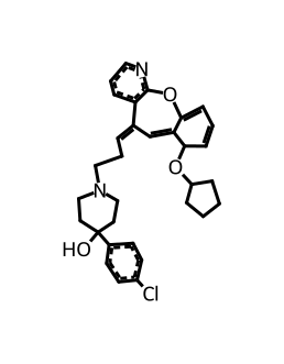 OC1(c2ccc(Cl)cc2)CCN(CCC=C2C=C3C(=CC=CC3OC3CCCC3)Oc3ncccc32)CC1